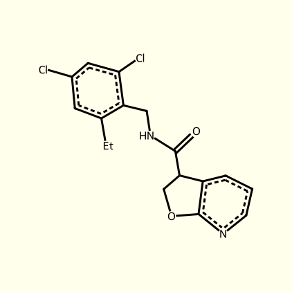 CCc1cc(Cl)cc(Cl)c1CNC(=O)C1COc2ncccc21